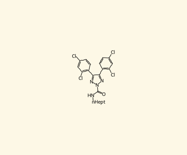 CCCCCCCNC(=O)n1nc(-c2ccc(Cl)cc2Cl)c(-c2ccc(Cl)cc2Cl)n1